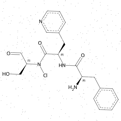 N[C@H](Cc1ccccc1)C(=O)N[C@H](Cc1cccnc1)C(=O)N(Cl)[C@H]([C]=O)CO